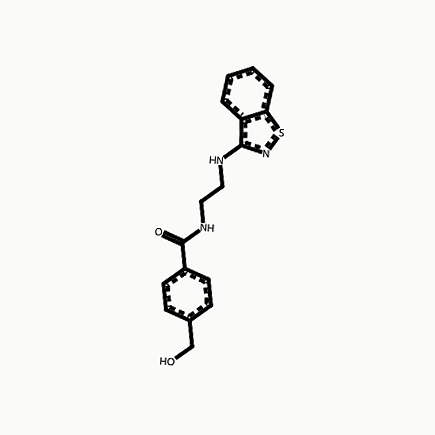 O=C(NCCNc1nsc2ccccc12)c1ccc(CO)cc1